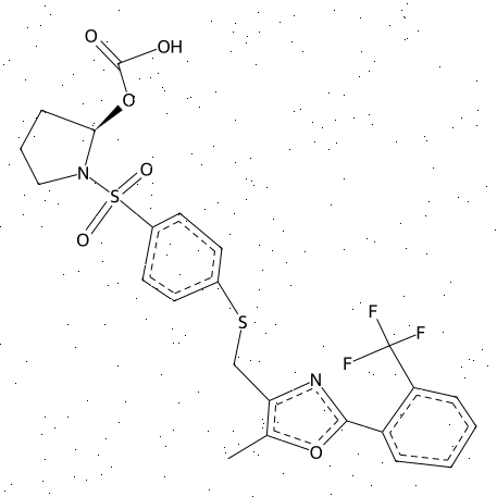 Cc1oc(-c2ccccc2C(F)(F)F)nc1CSc1ccc(S(=O)(=O)N2CCC[C@H]2OC(=O)O)cc1